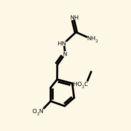 CC(=O)O.N=C(N)NN=Cc1cccc([N+](=O)[O-])c1